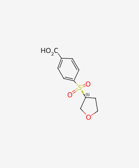 O=C(O)c1ccc(S(=O)(=O)[C@H]2CCOC2)cc1